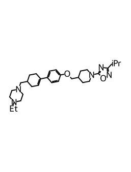 CCN1CCN(CC2CC=C(c3ccc(OCC4CCN(c5nc(C(C)C)no5)CC4)cc3)CC2)CC1